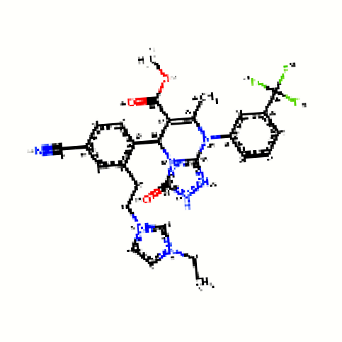 CCn1cc[n+](CCc2cc(C#N)ccc2C2C(C(=O)OC)=C(C)N(c3cccc(C(F)(F)F)c3)c3n[nH]c(=O)n32)c1